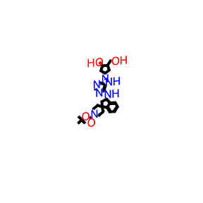 CC(C)(C)OC(=O)N1CCC2(CC1)C[C@H](Nc1ncnc3c1[nH]n3C1CC(O)C(CO)C1)c1ccccc12